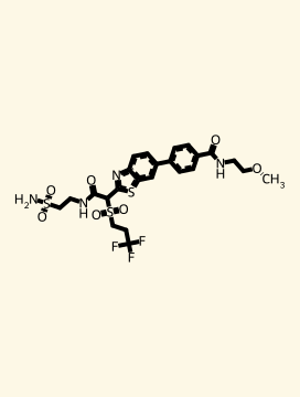 COCCNC(=O)c1ccc(-c2ccc3nc(C(C(=O)NCCS(N)(=O)=O)S(=O)(=O)CCC(F)(F)F)sc3c2)cc1